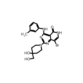 Cc1cccc(Nc2nc(N3CCC(O)(CO)CC3)nc3c(Br)c[nH]c(=O)c23)c1